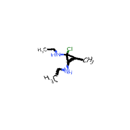 CCN[C]1C(C)C1(Cl)NCC